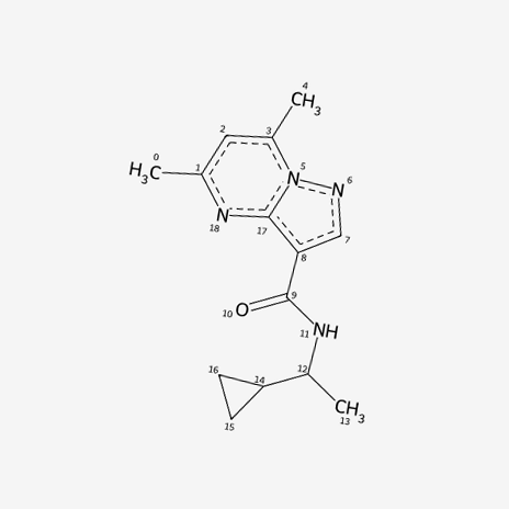 Cc1cc(C)n2ncc(C(=O)NC(C)C3CC3)c2n1